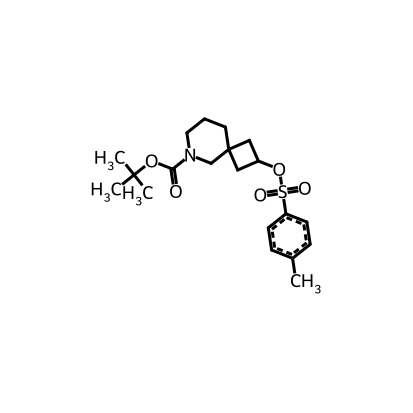 Cc1ccc(S(=O)(=O)OC2CC3(CCCN(C(=O)OC(C)(C)C)C3)C2)cc1